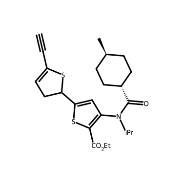 C#CC1=CCC(c2cc(N(C(=O)[C@H]3CC[C@H](C)CC3)C(C)C)c(C(=O)OCC)s2)S1